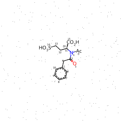 CC(=O)N(C(=O)Cc1ccccc1)[C@@H](CCS(=O)(=O)O)C(=O)O